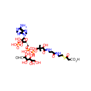 CC(C)(COP(=O)(O)OP(=O)(O)OC[C@H]1O[C@@H](n2cnc3c(N)ncnc32)[C@H](O)[C@@H]1OP(=O)(O)O)C(O)C(=O)NCCC(=O)NCCSC(=O)CC(=O)O.O=CC(O)C(O)C(O)C(O)CO